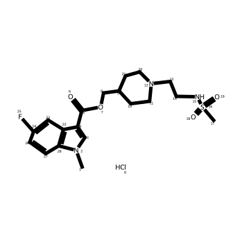 Cl.Cn1cc(C(=O)OCC2CCN(CCNS(C)(=O)=O)CC2)c2cc(F)ccc21